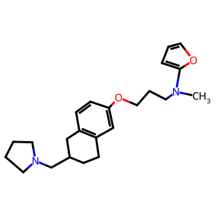 CN(CCCOc1ccc2c(c1)CCC(CN1CCCC1)C2)c1ccco1